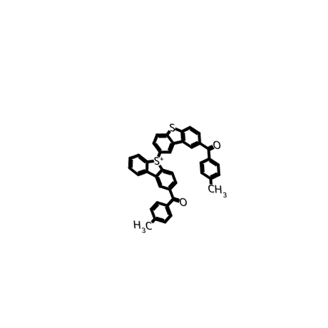 Cc1ccc(C(=O)c2ccc3sc4ccc(-[s+]5c6ccccc6c6cc(C(=O)c7ccc(C)cc7)ccc65)cc4c3c2)cc1